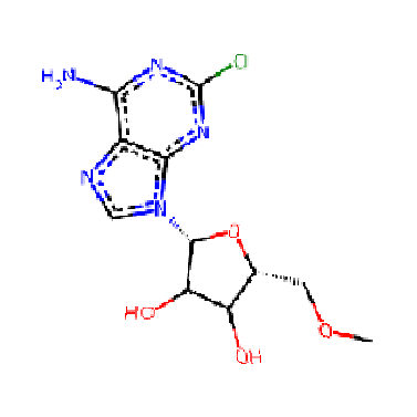 COC[C@H]1O[C@@H](n2cnc3c(N)nc(Cl)nc32)C(O)C1O